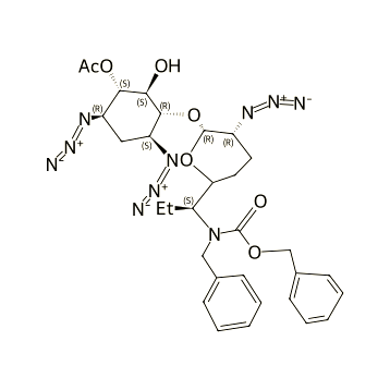 CC[C@@H](C1CC[C@@H](N=[N+]=[N-])[C@@H](O[C@H]2[C@H](O)[C@@H](OC(C)=O)[C@H](N=[N+]=[N-])C[C@@H]2N=[N+]=[N-])O1)N(Cc1ccccc1)C(=O)OCc1ccccc1